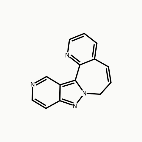 C1=Cc2cccnc2-c2c3cnccc3nn2C1